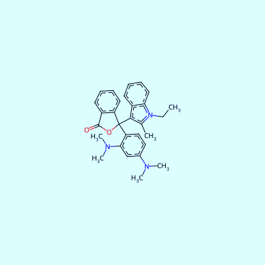 CCn1c(C)c(C2(c3ccc(N(C)C)cc3N(C)C)OC(=O)c3ccccc32)c2ccccc21